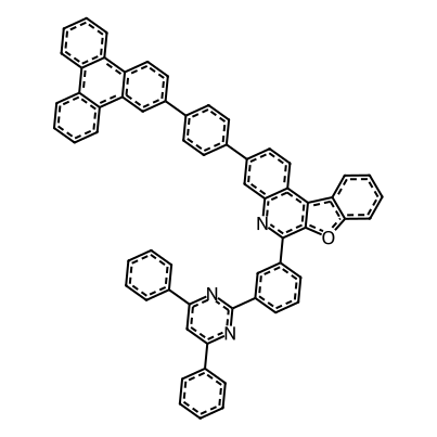 c1ccc(-c2cc(-c3ccccc3)nc(-c3cccc(-c4nc5cc(-c6ccc(-c7ccc8c9ccccc9c9ccccc9c8c7)cc6)ccc5c5c4oc4ccccc45)c3)n2)cc1